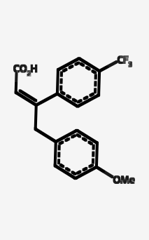 COc1ccc(C/C(=C/C(=O)O)c2ccc(C(F)(F)F)cc2)cc1